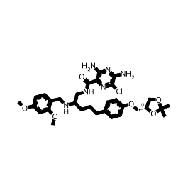 COc1ccc(CNC(CCCc2ccc(OC[C@@H]3COC(C)(C)O3)cc2)CNC(=O)c2nc(Cl)c(N)nc2N)c(OC)c1